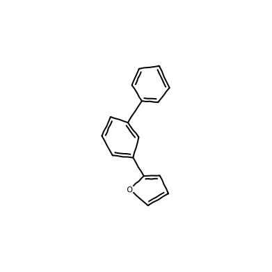 c1ccc(-c2cccc(-c3ccco3)c2)cc1